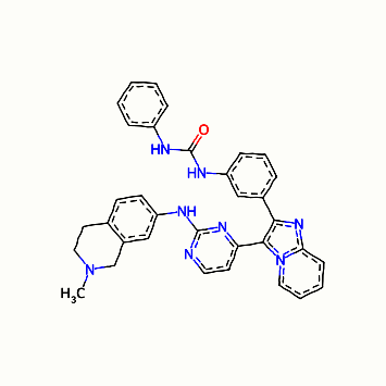 CN1CCc2ccc(Nc3nccc(-c4c(-c5cccc(NC(=O)Nc6ccccc6)c5)nc5ccccn45)n3)cc2C1